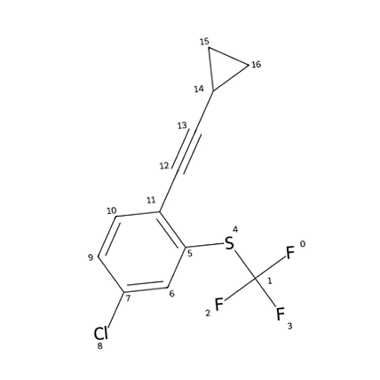 FC(F)(F)Sc1cc(Cl)ccc1C#CC1CC1